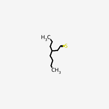 CCCCC(CC=S)CCC